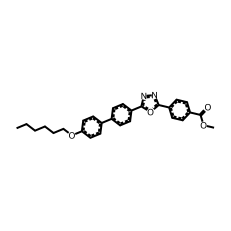 CCCCCCOc1ccc(-c2ccc(-c3nnc(-c4ccc(C(=O)OC)cc4)o3)cc2)cc1